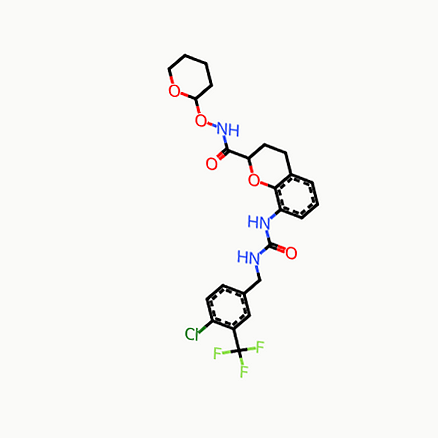 O=C(NCc1ccc(Cl)c(C(F)(F)F)c1)Nc1cccc2c1OC(C(=O)NOC1CCCCO1)CC2